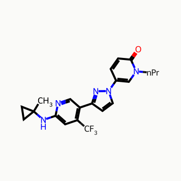 CCCn1cc(-n2ccc(-c3cnc(NC4(C)CC4)cc3C(F)(F)F)n2)ccc1=O